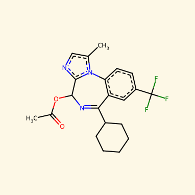 CC(=O)OC1N=C(C2CCCCC2)c2cc(C(F)(F)F)ccc2-n2c(C)cnc21